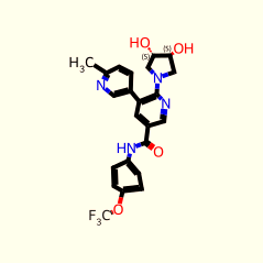 Cc1ccc(-c2cc(C(=O)Nc3ccc(OC(F)(F)F)cc3)cnc2N2C[C@H](O)[C@@H](O)C2)cn1